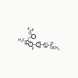 COC(=O)C1CC2CCC1CC2c1ncc(-c2cn3c(Cc4ccccc4OC(F)F)c(C)nc3cc2F)cn1